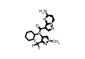 Cn1cc(N(C(=O)c2cnn3ccc(N)nc23)C2CCCCC2)c(C(F)(F)F)n1